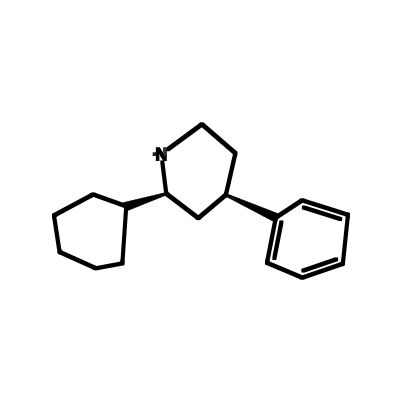 c1ccc([C@@H]2CC[N][C@H](C3CCCCC3)C2)cc1